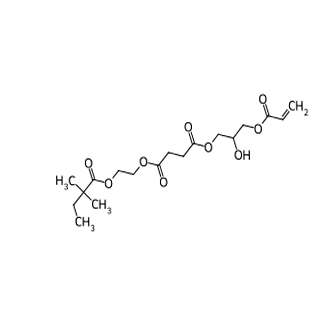 C=CC(=O)OCC(O)COC(=O)CCC(=O)OCCOC(=O)C(C)(C)CC